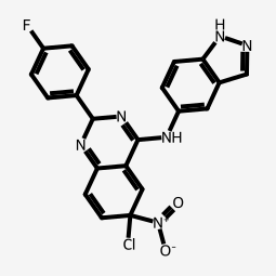 O=[N+]([O-])C1(Cl)C=CC2=NC(c3ccc(F)cc3)N=C(Nc3ccc4[nH]ncc4c3)C2=C1